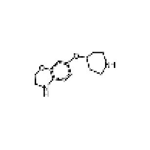 c1cc2c(cc1OC1CCNCC1)OCCN2